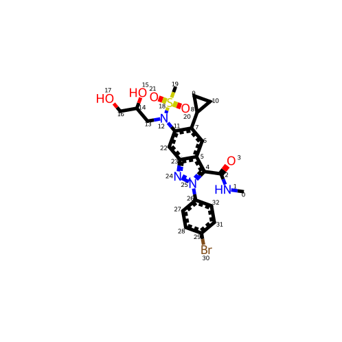 CNC(=O)c1c2cc(C3CC3)c(N(CC(O)CO)S(C)(=O)=O)cc2nn1-c1ccc(Br)cc1